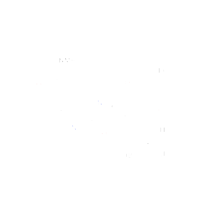 CC[C@H]1O[C@@H](n2cc(C(=O)NC)c(=O)[nH]c2=O)[C@@H](O[Si](C)(C)C(C)(C)C)C1O